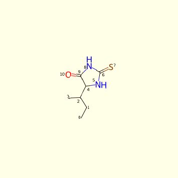 CCC(C)C1NC(=S)NC1=O